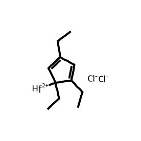 CCC1=C[C]([Hf+2])(CC)C(CC)=C1.[Cl-].[Cl-]